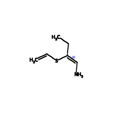 C=CS/C(=C\N)CC